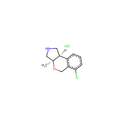 C[C@]12CNC[C@H]1c1cccc(Cl)c1CO2.Cl